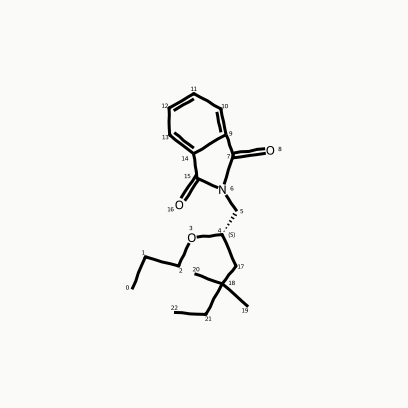 CCCO[C@H](CN1C(=O)c2ccccc2C1=O)CC(C)(C)CC